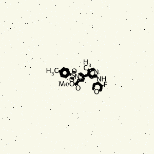 COC(=O)c1cc(-c2cc(N[C@H]3CCOC[C@H]3F)ncc2C)cn1S(=O)(=O)c1ccc(C)cc1